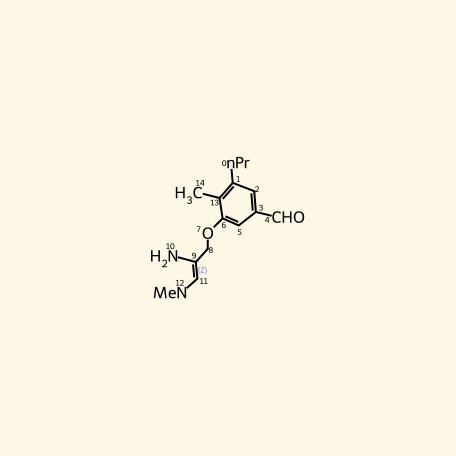 CCCc1cc(C=O)cc(OC/C(N)=C/NC)c1C